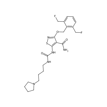 NC(=O)c1c(OCc2c(CF)cccc2CF)nsc1NC(=O)NCCCCN1CCCC1